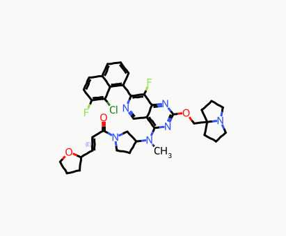 CN(c1nc(OCC23CCCN2CCC3)nc2c(F)c(-c3cccc4ccc(F)c(Cl)c34)ncc12)C1CCN(C(=O)/C=C/C2CCCO2)C1